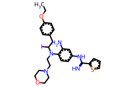 CCOc1ccc(CC(I)N(CCN2CCOCC2)c2ccc(NC(=N)c3cccs3)cc2N)cc1